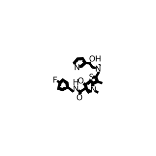 Cc1c(CN(C)C[C@H](O)c2cccnc2)sc2c(=O)c(C(=O)NCc3ccc(F)cc3)cn(C)c12